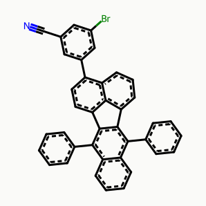 N#Cc1cc(Br)cc(-c2ccc3c4c(cccc24)-c2c-3c(-c3ccccc3)c3ccccc3c2-c2ccccc2)c1